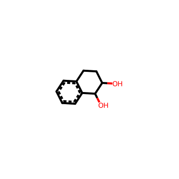 OC1CCc2ccccc2C1O